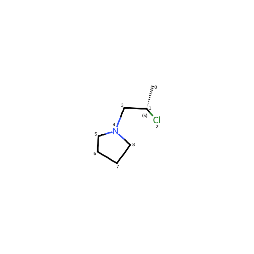 C[C@H](Cl)CN1CCCC1